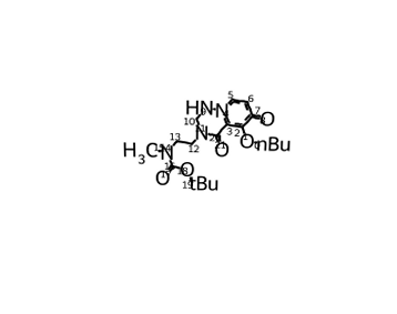 CCCCOc1c2n(ccc1=O)NCN(CCN(C)C(=O)OC(C)(C)C)C2=O